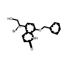 O=c1ccc2c([C@@H](Br)CO)ccc(OCc3ccccc3)c2[nH]1